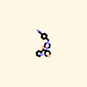 N#Cc1ccc(CN2CCN(C3(C(=O)c4ccccn4)CCOCC3)CC2)cc1